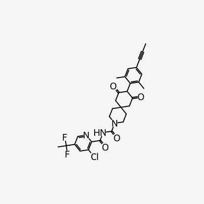 CC#Cc1cc(C)c(C2C(=O)CC3(CCN(C(=O)NC(=O)c4ncc(C(C)(F)F)cc4Cl)CC3)CC2=O)c(C)c1